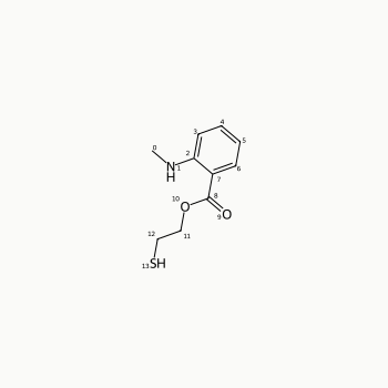 CNc1ccccc1C(=O)OCCS